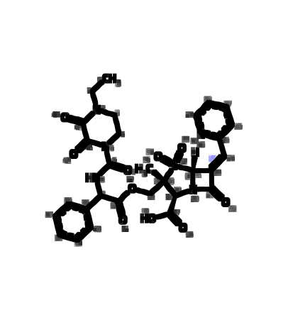 CCN1CCN(C(=O)NC(C(=O)OC[C@@]2(C)[C@H](C(=O)O)N3C(=O)/C(=C/c4ccccn4)[C@H]3S2(=O)=O)c2ccccc2)C(=O)C1=O